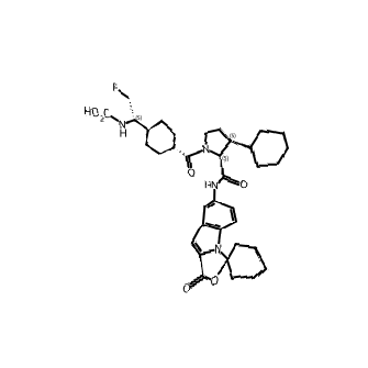 O=C(O)N[C@H](CF)[C@H]1CC[C@H](C(=O)N2CC[C@@H](C3CCCCC3)[C@H]2C(=O)Nc2ccc3c(c2)cc2n3C3(CCCCC3)OC2=O)CC1